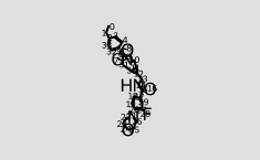 CCc1ccc(S(=O)(=O)N2CC3C(CNC(=O)c4ccc(N5CCOCC5)c(F)c4)C3C2)cc1